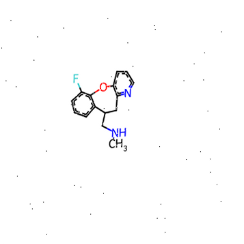 CNCC1Cc2ncccc2Oc2c(F)cccc21